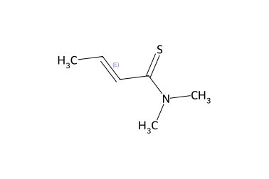 C/C=C/C(=S)N(C)C